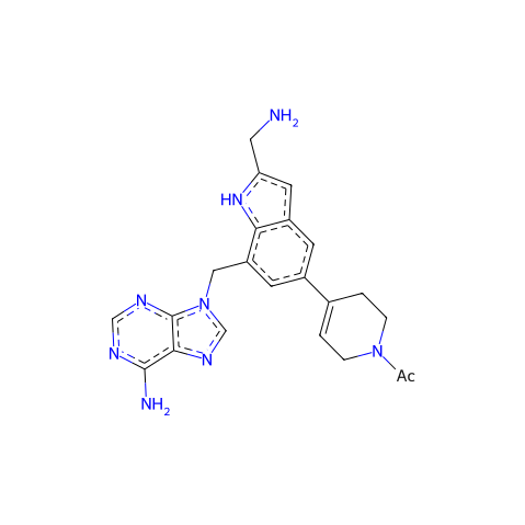 CC(=O)N1CC=C(c2cc(Cn3cnc4c(N)ncnc43)c3[nH]c(CN)cc3c2)CC1